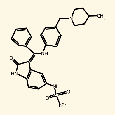 CCCS(=O)(=O)Nc1ccc2c(c1)C(=C(Nc1ccc(CN3CCC(C)CC3)cc1)c1ccccc1)C(=O)N2